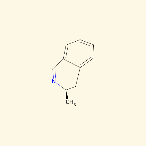 C[C@@H]1Cc2ccccc2C=N1